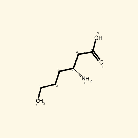 CCCC[C@@H](N)CC(=O)O